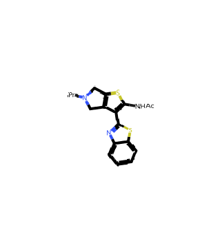 CC(=O)Nc1sc2c(c1-c1nc3ccccc3s1)CN(C(C)C)C2